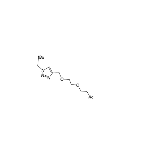 CC(=O)CCOCCOCc1cn(CC(C)(C)C)nn1